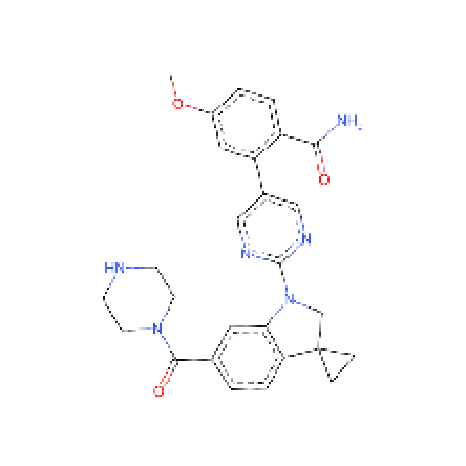 COc1ccc(C(N)=O)c(-c2cnc(N3CC4(CC4)c4ccc(C(=O)N5CCNCC5)cc43)nc2)c1